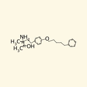 C[C@H](O)[C@](C)(N)CCc1ccc(OCCCCCc2ccccc2)cc1